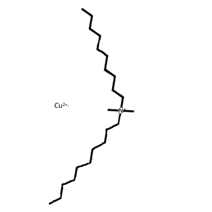 CCCCCCCCCC[N+](C)(C)CCCCCCCCCC.[Cu+2]